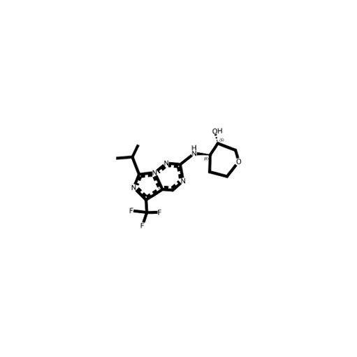 CC(C)c1nc(C(F)(F)F)c2cnc(N[C@@H]3CCOC[C@H]3O)nn12